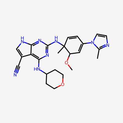 COC1C=C(n2ccnc2C)C=CC1(C)Nc1nc(NC2CCOCC2)c2c(C#N)c[nH]c2n1